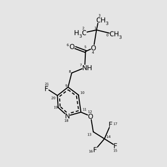 CC(C)(C)OC(=O)NCc1cc(OCC(F)(F)F)ncc1F